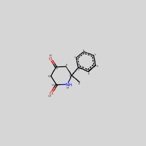 CC1(c2ccccc2)CC(=O)CC(=O)N1